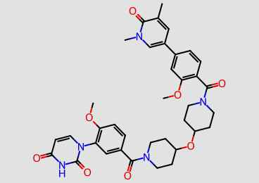 COc1cc(-c2cc(C)c(=O)n(C)c2)ccc1C(=O)N1CCC(OC2CCN(C(=O)c3ccc(OC)c(-n4ccc(=O)[nH]c4=O)c3)CC2)CC1